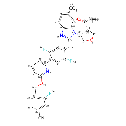 CNC(=O)[C@@H]1COC[C@@H]1n1c(Cc2cc(F)c(-c3cccc(OCc4ccc(C#N)cc4F)n3)cc2F)nc2ccc(C(=O)O)cc21